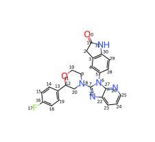 O=C1Cc2cc(-n3c(N4CCOC(c5ccc(F)cc5)C4)nc4cccnc43)ccc2N1